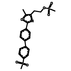 Cc1oc(-c2ccc(-c3ccc(S(C)(=O)=O)cc3)cc2)nc1CCOS(C)(=O)=O